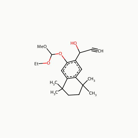 C#CC(O)c1cc2c(cc1OC(OC)OCC)C(C)(C)CCC2(C)C